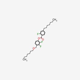 CCCCCCCOCc1ccc(OC(=O)c2ccc(CCCCCCC)cc2F)c(F)c1F